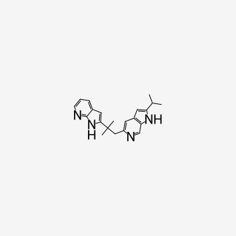 CC(C)c1cc2cc(CC(C)(C)c3cc4cccnc4[nH]3)ncc2[nH]1